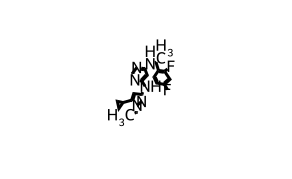 CCn1nc(Nc2cc(NC(C)c3ccc(F)cc3F)ncn2)cc1C1CC1